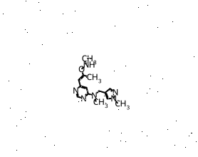 CNO/C(C)=C/c1cc(N(C)Cc2cnn(C)c2)ncn1